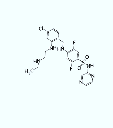 CCNCCNc1cc(Cl)ccc1CNc1cc(F)c(S(=O)(=O)Nc2cnccn2)cc1F